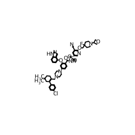 CC1(C)CCC(CN2CCN(c3ccc(C(=O)NS(=O)(=O)c4cnc(OCC5(F)CCN(C6COC6)CC5)c(C#N)c4)c(Oc4cccc5[nH]ncc45)c3)CC2)=C(c2ccc(Cl)cc2)C1